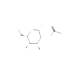 CC(=O)O[C@@H]1[C@@H](O)[C@@H](O)[C@@H](CO)O[C@@H]1Br